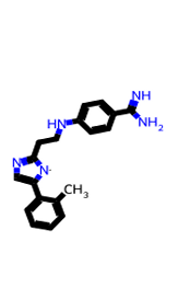 Cc1ccccc1C1=CN=C(CCNc2ccc(C(=N)N)cc2)[N]1